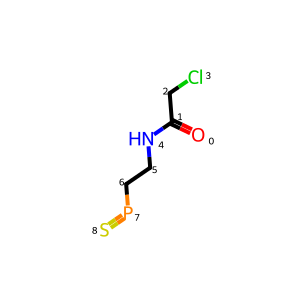 O=C(CCl)NCCP=S